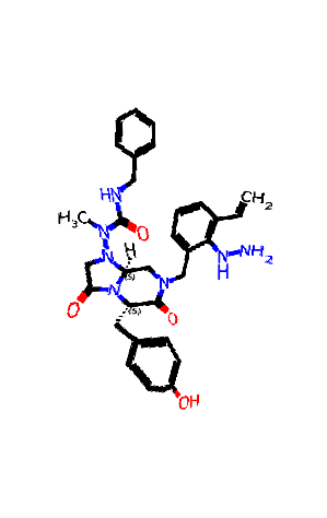 C=Cc1cccc(CN2C[C@H]3N(C(=O)CN3N(C)C(=O)NCc3ccccc3)[C@@H](Cc3ccc(O)cc3)C2=O)c1NN